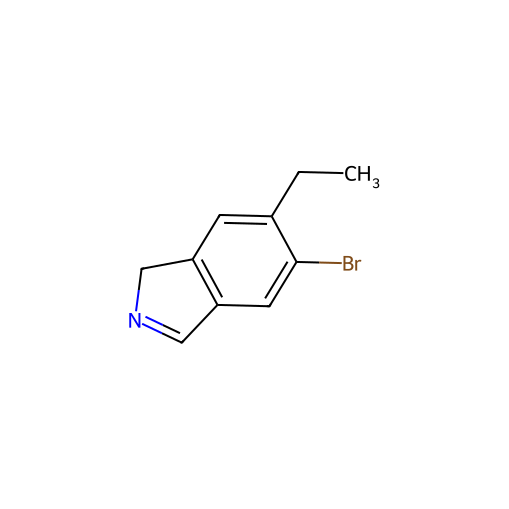 CCc1cc2c(cc1Br)C=NC2